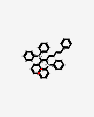 C(C=Cc1ccccc1)=CC(=C(c1ccccc1)N(c1ccccc1)c1ccccc1)N(c1ccccc1)c1ccccc1